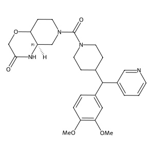 COc1ccc(C(c2cccnc2)C2CCN(C(=O)N3CCC4OCC(=O)N[C@@H]4C3)CC2)cc1OC